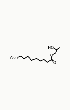 [CH2]C(O)COC(=O)CCCCCCCCCCCCCCCCC